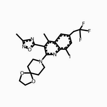 Cc1noc(-c2c(N3CCC4(CC3)OCCO4)nc3c(I)cc(CC(F)(F)F)cc3c2C)n1